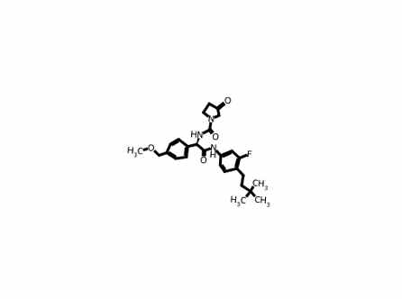 COCc1ccc([C@@H](NC(=O)N2CCC(=O)C2)C(=O)Nc2ccc(CCC(C)(C)C)c(F)c2)cc1